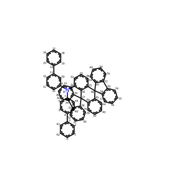 c1ccc(-c2ccc(N(c3cccc(-c4ccccc4)c3)c3cccc4c3C3(c5ccccc5-c5ccccc53)c3ccccc3C43c4ccccc4-c4ccccc43)cc2)cc1